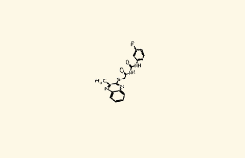 Cc1nc2ccccc2nc1SCC(=O)NC(=O)Nc1cccc(F)c1